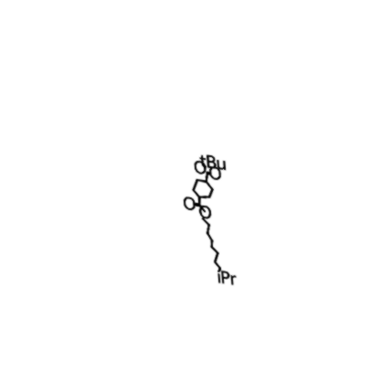 CC(C)CCCCCCCCOC(=O)C1CCC(C(=O)OC(C)(C)C)CC1